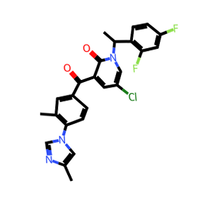 Cc1cn(-c2ccc(C(=O)c3cc(Cl)cn(C(C)c4ccc(F)cc4F)c3=O)cc2C)cn1